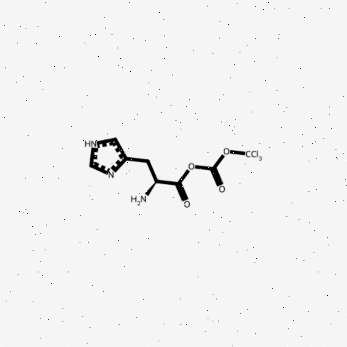 N[C@@H](Cc1c[nH]cn1)C(=O)OC(=O)OC(Cl)(Cl)Cl